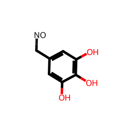 O=NCc1cc(O)c(O)c(O)c1